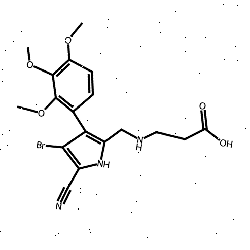 COc1ccc(-c2c(CNCCC(=O)O)[nH]c(C#N)c2Br)c(OC)c1OC